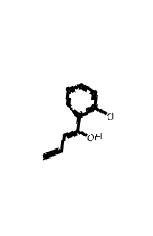 C=CC=C(O)c1ccccc1Cl